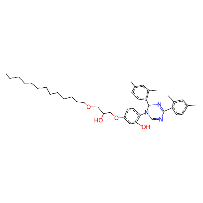 CCCCCCCCCCCCCOCC(O)COc1ccc(N2C=NC(c3ccc(C)cc3C)=NC2c2ccc(C)cc2C)c(O)c1